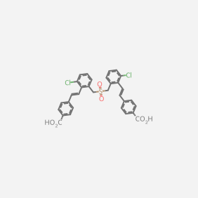 O=C(O)c1ccc(/C=C/c2c(Cl)cccc2CS(=O)(=O)Cc2cccc(Cl)c2/C=C/c2ccc(C(=O)O)cc2)cc1